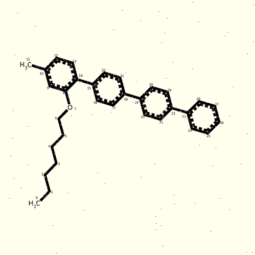 CCCCCCCOc1cc(C)ccc1-c1ccc(-c2ccc(-c3ccccc3)cc2)cc1